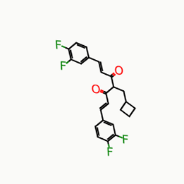 O=C(C=Cc1ccc(F)c(F)c1)C(CC1CCC1)C(=O)C=Cc1ccc(F)c(F)c1